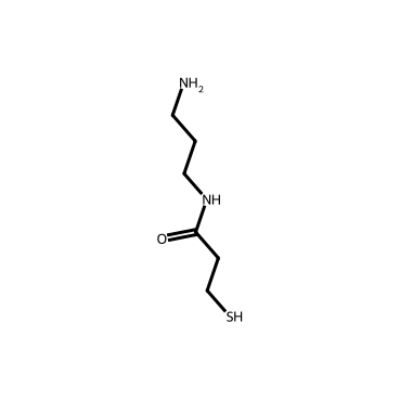 NCCCNC(=O)CCS